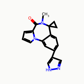 CN1C(=O)c2cccn2-c2cc(-c3cn[nH]c3)ccc2C12CC2